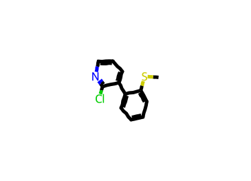 CSc1ccccc1-c1cccnc1Cl